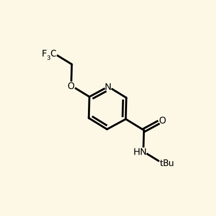 CC(C)(C)NC(=O)c1ccc(OCC(F)(F)F)nc1